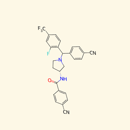 N#Cc1ccc(C(=O)N[C@@H]2CCN(C(c3ccc(C#N)cc3)c3ccc(C(F)(F)F)cc3F)C2)cc1